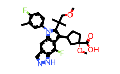 COCC(C)(C)c1c(C2CC[C@@](OC)(C(=O)O)C2)c2c(F)c3[nH]ncc3cc2n1-c1ccc(F)c(C)c1